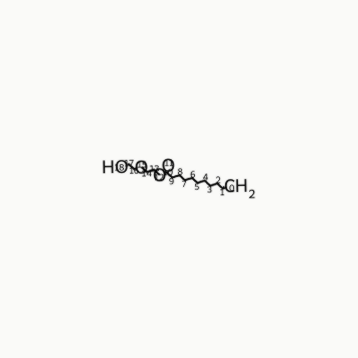 C=CCCCCCCCCC(=O)OCCOCCO